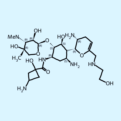 CN[C@@H]1[C@@H](O)[C@@H](O[C@H]2[C@H](NC(=O)C3(O)CC(N)C3)C[C@H](N)C([C@H]3OC(CNCCO)=CC[C@H]3N)[C@@H]2O)OC[C@]1(C)O